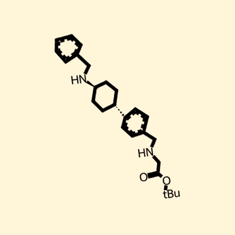 CC(C)(C)OC(=O)CNCc1ccc([C@H]2CC[C@H](NCc3ccccc3)CC2)cc1